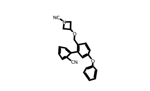 N#Cc1ccccc1-c1cc(Oc2ccccc2)ccc1COC1CN(C#N)C1